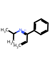 C=C/C(=N\C(C)C)c1ccccc1